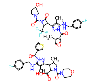 Cc1c(C2C(C)CN(C(=O)N3CCOCC3)C2C(=O)O)nn(C(=O)c2ccsc2)c1NCc1ccc(F)cc1.Cc1cocc1C(=O)n1nc(C2C(=O)N(C(=O)N3CCC(O)C3)C2C(F)(F)F)c(C)c1NCc1ccc(F)cc1